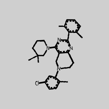 Cc1ccc(Cl)cc1N1CCc2nc(-c3c(C)cccc3C)nc(N3CCCC(C)(C)C3)c2C1